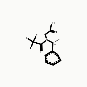 C[C@H](c1ccccc1)N(CC(=O)O)C(=O)C(F)(F)F